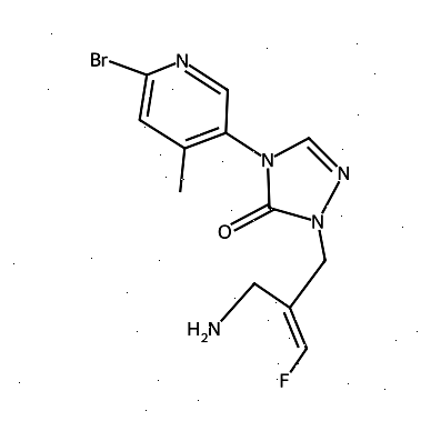 Cc1cc(Br)ncc1-n1cnn(C/C(=C/F)CN)c1=O